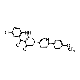 O=C1CC(c2ccc(-c3ccc(OC(F)(F)F)cc3)nc2)Cc2[nH]c3ccc(Cl)cc3c(=O)c21